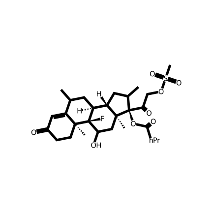 CCCC(=O)O[C@]1(C(=O)COS(C)(=O)=O)C(C)C[C@H]2[C@@H]3CC(C)C4=CC(=O)CC[C@]4(C)[C@@]3(F)C(O)C[C@@]21C